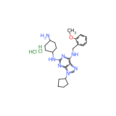 COc1ccccc1CNc1nc(NC2CCC(N)CC2)nc2c1ncn2C1CCCC1.Cl.Cl